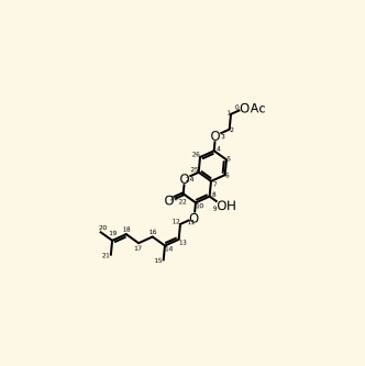 CC(=O)OCCOc1ccc2c(O)c(OCC=C(C)CCC=C(C)C)c(=O)oc2c1